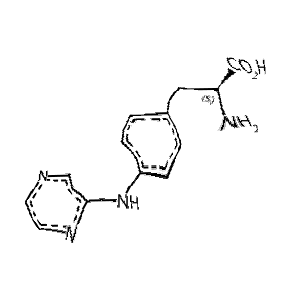 N[C@@H](Cc1ccc(Nc2cnccn2)cc1)C(=O)O